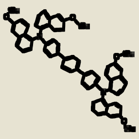 CC(C)(C)Oc1ccc2c(N(c3ccc(-c4ccc(-c5ccc(N(c6cccc7cc(OC(C)(C)C)ccc67)c6cccc7cc(OC(C)(C)C)ccc67)cc5)cc4)cc3)c3cccc4cc(OC(C)(C)C)ccc34)cccc2c1